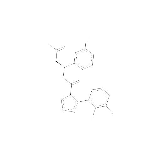 Cc1cccc(-c2n[nH]cc2C(=O)N[C@@H](CC(N)=O)c2cccc(Cl)c2)c1F